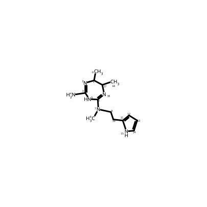 CC1N=C(N)NC(N(C)CCc2ccc[nH]2)=NC1C